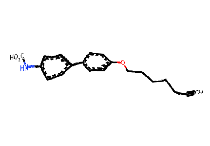 C#CCCCCCOc1ccc(-c2ccc(NC(=O)O)cc2)cc1